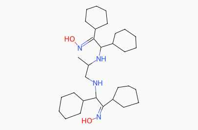 CC(CNC(C(=NO)C1CCCCC1)C1CCCCC1)NC(C(=NO)C1CCCCC1)C1CCCCC1